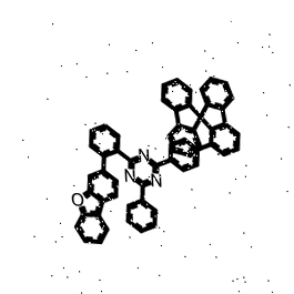 c1ccc(-c2nc(-c3ccc(-c4cccc5c4C4(c6ccccc6-c6ccccc64)c4ccccc4-5)cc3)nc(-c3ccccc3-c3ccc4c(c3)oc3ccccc34)n2)cc1